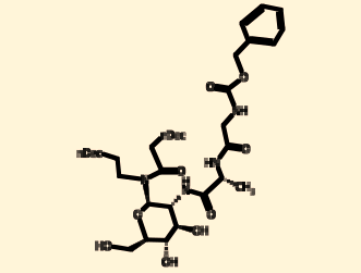 CCCCCCCCCCCCN(C(=O)CCCCCCCCCCC)[C@@H]1O[C@H](CO)[C@@H](O)[C@H](O)[C@H]1NC(=O)[C@@H](C)NC(=O)CNC(=O)OCc1ccccc1